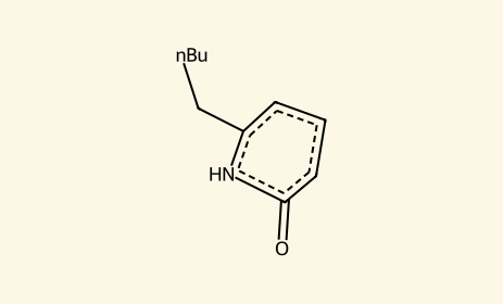 CCCCCc1cccc(=O)[nH]1